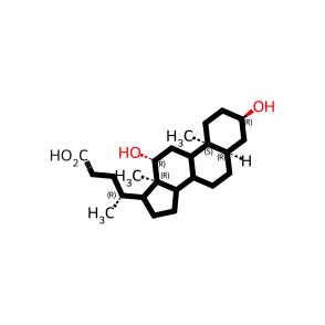 C[C@H](CCC(=O)O)C1CCC2C3CC[C@@H]4C[C@H](O)CC[C@]4(C)C3C[C@@H](O)[C@@]21C